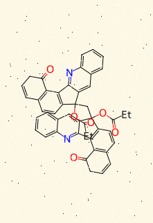 CCC(=O)OC1(CC2(OC(=O)CC)c3cc4ccccc4nc3-c3c2ccc2c3C(=O)CC=C2)c2cc3ccccc3nc2-c2c1ccc1c2C(=O)CC=C1